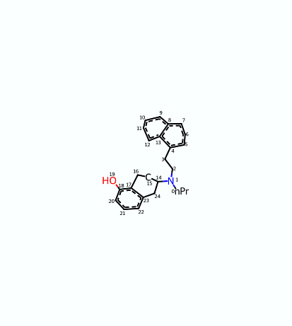 CCCN(CCc1cccc2ccccc12)C1CCc2c(O)cccc2C1